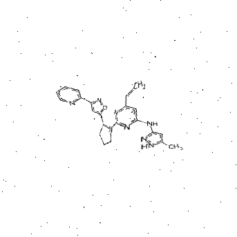 C=Cc1cc(Nc2cc(C)[nH]n2)nc(N2CCC[C@H]2c2cc(-c3ccccn3)no2)n1